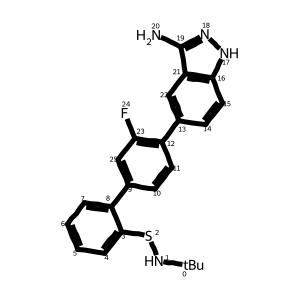 CC(C)(C)NSc1ccccc1-c1ccc(-c2ccc3[nH]nc(N)c3c2)c(F)c1